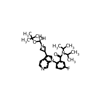 CC(C)N(C(=O)c1cc(F)ccc1-n1cc(C2CN(C(O)OC(C)(C)C)C2)c2ccncc21)C(C)C